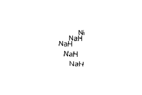 [NaH].[NaH].[NaH].[NaH].[Ni]